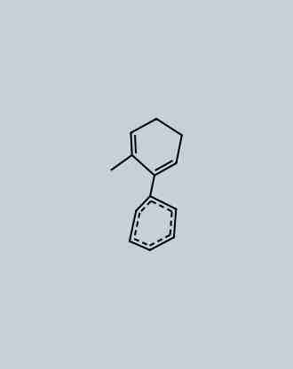 CC1=CCCC=C1c1ccccc1